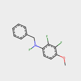 COc1ccc(N(F)Cc2ccccc2)c(F)c1F